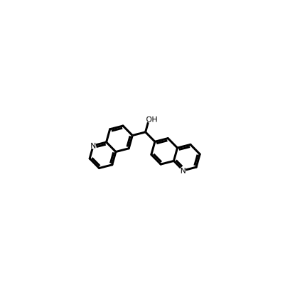 OC(c1ccc2ncccc2c1)c1ccc2ncccc2c1